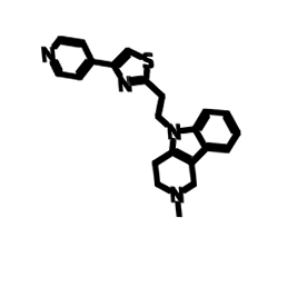 CN1CCc2c(c3ccccc3n2CCc2nc(-c3ccncc3)cs2)C1